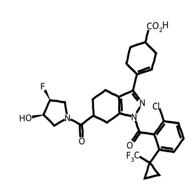 O=C(O)C1CC=C(c2nn(C(=O)c3c(Cl)cccc3C3(C(F)(F)F)CC3)c3c2CCC(C(=O)N2C[C@@H](O)[C@@H](F)C2)C3)CC1